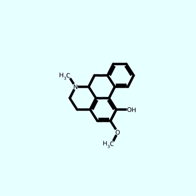 COc1cc2c3c(c1O)-c1ccccc1CC3N(C)CC2